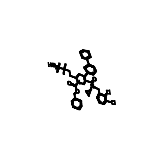 CC(C)(CCC1CC(c2cccc(-c3ccccc3)c2)=C(C(=O)N(Cc2cccc(Cl)c2Cl)C2CC2)CN1C(=O)OCc1ccccc1)[Si](C)(C)O